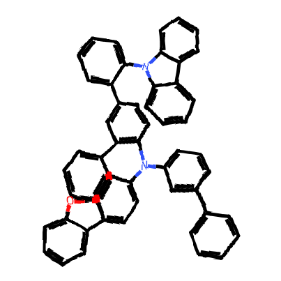 c1ccc(-c2cccc(N(c3ccc4c(c3)oc3ccccc34)c3ccc(-c4ccccc4-n4c5ccccc5c5ccccc54)cc3-c3ccccc3)c2)cc1